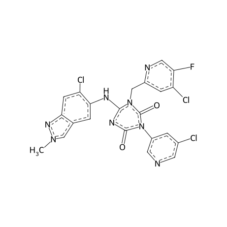 Cn1cc2cc(Nc3nc(=O)n(-c4cncc(Cl)c4)c(=O)n3Cc3cc(Cl)c(F)cn3)c(Cl)cc2n1